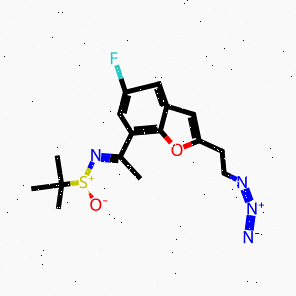 C/C(=N\[S@+]([O-])C(C)(C)C)c1cc(F)cc2cc(CCN=[N+]=[N-])oc12